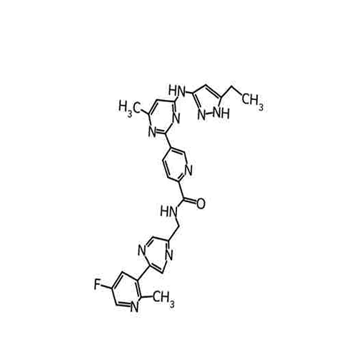 CCc1cc(Nc2cc(C)nc(-c3ccc(C(=O)NCc4cnc(-c5cc(F)cnc5C)cn4)nc3)n2)n[nH]1